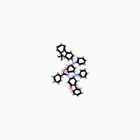 CC1(C)c2ccccc2-c2ccc(N(c3ccccc3)c3cc(N(c4ccccc4)c4ccc5oc6ccccc6c5c4)c4nc(-c5ccccc5)oc4c3)cc21